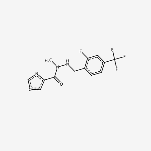 CN(NCc1ccc(C(F)(F)F)cc1F)C(=O)c1cocn1